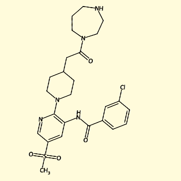 CS(=O)(=O)c1cnc(N2CCC(CC(=O)N3CCCNCC3)CC2)c(NC(=O)c2cccc(Cl)c2)c1